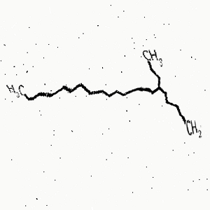 [CH2]CCCCC(CCC)CCCCCCCCCCCCCC